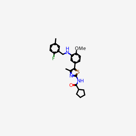 COc1ccc(-c2sc(NC(=O)C3CCCC3)nc2C)cc1NCc1cc(C)ccc1F